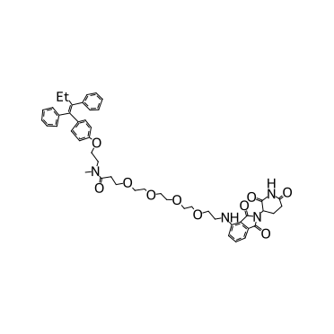 CC/C(=C(\c1ccccc1)c1ccc(OCCN(C)C(=O)CCOCCOCCOCCOCCNc2cccc3c2C(=O)N(C2CCC(=O)NC2=O)C3=O)cc1)c1ccccc1